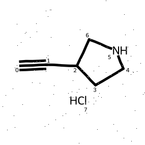 C#CC1CCNC1.Cl